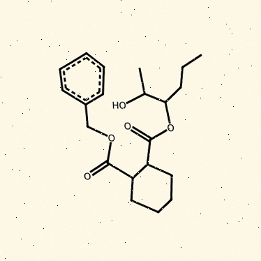 CCCC(OC(=O)C1CCCCC1C(=O)OCc1ccccc1)C(C)O